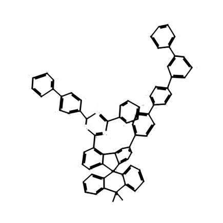 CC1(C)c2ccccc2C2(c3ccc(-c4ccc(-c5ccc(-c6cccc(-c7ccccc7)c6)cc5)cc4)cc3-c3c(C4=NC(c5ccccc5)=NC(c5ccc(-c6ccccc6)cc5)N4)cccc32)c2ccccc21